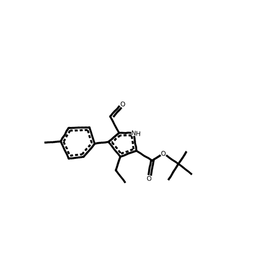 CCc1c(C(=O)OC(C)(C)C)[nH]c(C=O)c1-c1ccc(C)cc1